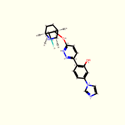 Oc1cc(-n2ccnc2)ccc1-c1ccc(O[C@@H]2[C@H]3CC[C@H](NC3)[C@@H]2F)nn1